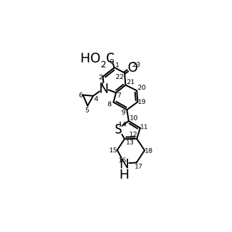 O=C(O)c1cn(C2CC2)c2cc(-c3cc4c(s3)CNCC4)ccc2c1=O